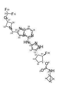 O=C(NC12CC(C1)C2)O[C@@H]1CC[C@H](c2cc(Nc3nccc4nc(CN5CC(OC(F)F)C5)cn34)n[nH]2)[C@H]1F